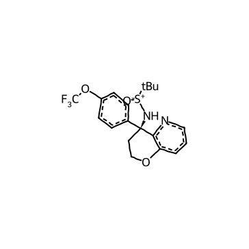 CC(C)(C)[S+]([O-])N[C@]1(c2ccc(OC(F)(F)F)cc2)CCOc2cccnc21